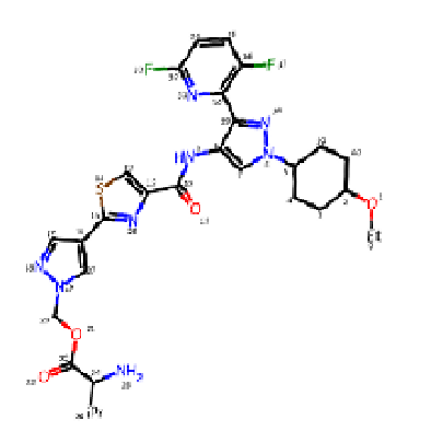 CCOC1CCC(n2cc(NC(=O)c3csc(-c4cnn(COC(=O)C(N)C(C)C)c4)n3)c(-c3nc(F)ccc3F)n2)CC1